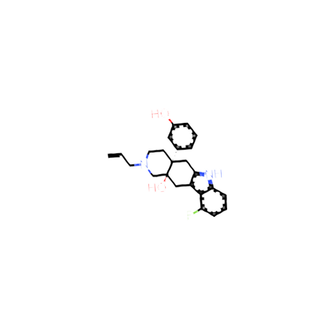 C=CCN1CC[C@@]2(c3cccc(O)c3)Cc3[nH]c4cccc(F)c4c3C[C@]2(O)C1